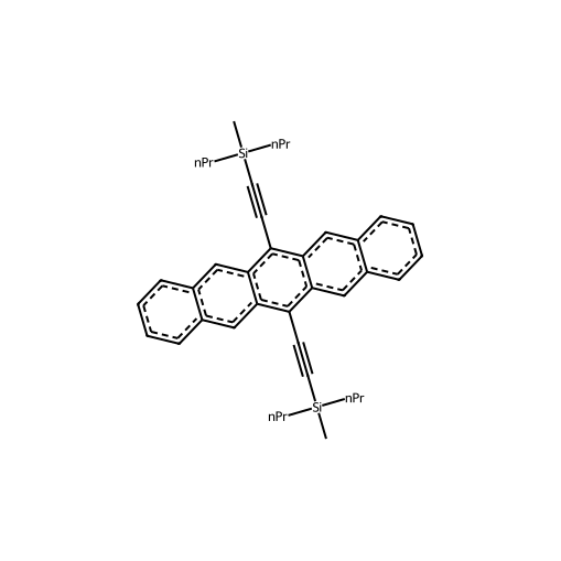 CCC[Si](C)(C#Cc1c2cc3ccccc3cc2c(C#C[Si](C)(CCC)CCC)c2cc3ccccc3cc12)CCC